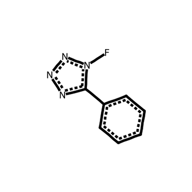 Fn1nnnc1-c1ccccc1